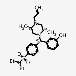 C=CCN1C[C@H](C)N([C@H](c2ccc(S(=O)(=O)N(CC)CC)cc2)c2cccc(O)c2)C[C@H]1C